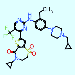 CCc1cc(N2CCN(CC3CC3)CC2)ccc1Nc1ncc(C(F)(F)F)c(-c2cc3c(s2)C(=O)N(C2CC2)CCS3(=O)=O)n1